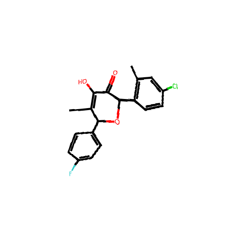 CC1=C(O)C(=O)C(c2ccc(Cl)cc2C)OC1c1ccc(F)cc1